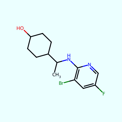 CC(Nc1ncc(F)cc1Br)C1CCC(O)CC1